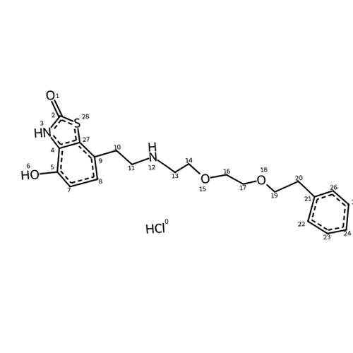 Cl.O=c1[nH]c2c(O)ccc(CCNCCOCCOCCc3ccccc3)c2s1